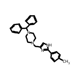 Cc1ccc(-c2nc(CN3CCN(C(c4ccccc4)c4ccccc4)CC3)c[nH]2)cc1